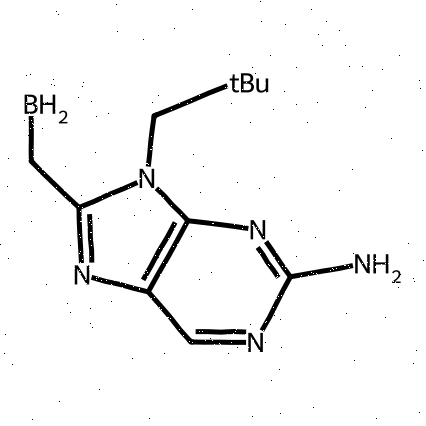 BCc1nc2cnc(N)nc2n1CC(C)(C)C